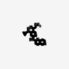 CCC(=O)c1cnc(Nc2ccc3cnccc3n2)cc1NC1CC1